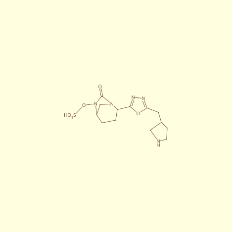 O=C1N2CC(CCC2c2nnc(CC3CCNC3)o2)N1OS(=O)(=O)O